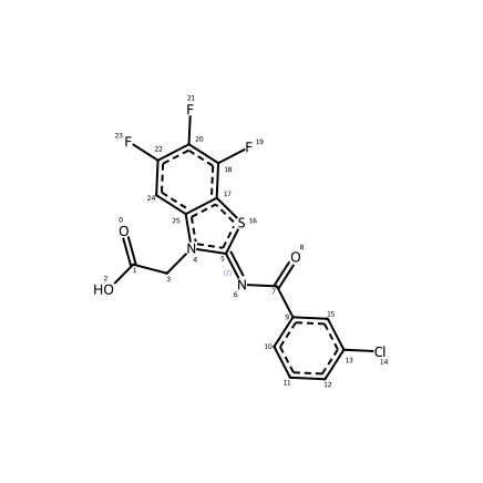 O=C(O)Cn1/c(=N/C(=O)c2cccc(Cl)c2)sc2c(F)c(F)c(F)cc21